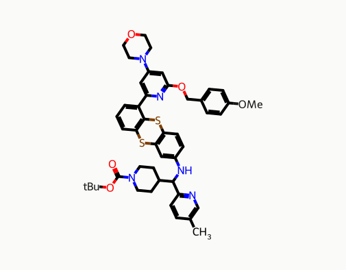 COc1ccc(COc2cc(N3CCOCC3)cc(-c3cccc4c3Sc3ccc(NC(c5ccc(C)cn5)C5CCN(C(=O)OC(C)(C)C)CC5)cc3S4)n2)cc1